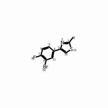 Cc1nc(-c2ccc(F)c(Br)c2)cs1